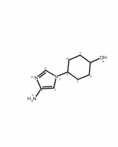 Nc1cn(C2CCC(O)CC2)cn1